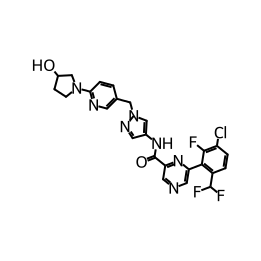 O=C(Nc1cnn(Cc2ccc(N3CCC(O)C3)nc2)c1)c1cncc(-c2c(C(F)F)ccc(Cl)c2F)n1